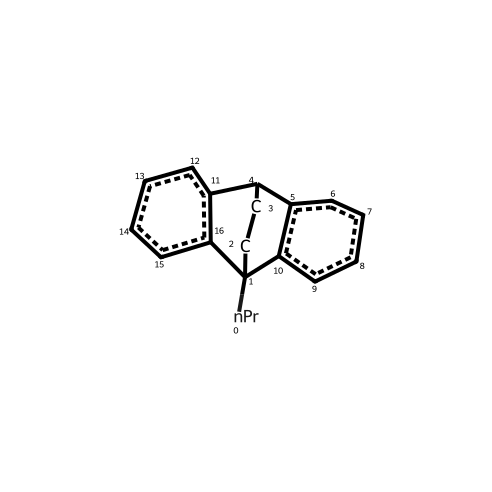 [CH2]CCC12CCC(c3ccccc31)c1ccccc12